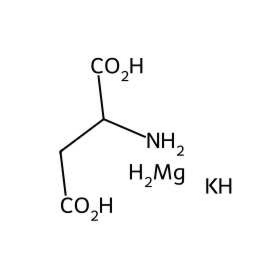 NC(CC(=O)O)C(=O)O.[KH].[MgH2]